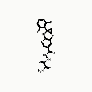 NC(=O)C(=O)NNC(=O)c1cnc(NC2(c3c(F)cccc3F)CC2)c(F)c1